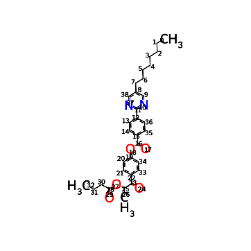 CCCCCCCCc1cnc(-c2ccc(C(=O)Oc3ccc(C(=O)C(C)OC(=O)CCC)cc3)cc2)nc1